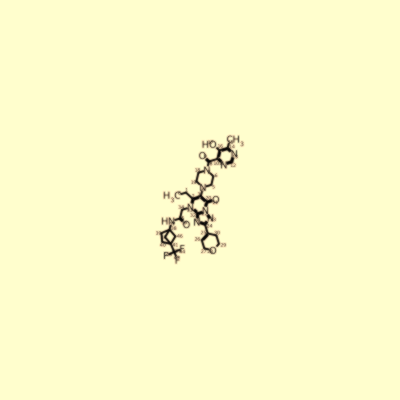 CCc1c(N2CCN(C(=O)c3ncnc(C)c3O)CC2)c(=O)n2nc(C3=CCOCC3)nc2n1CC(=O)NC12CCC(C(F)(F)F)(C1)C2